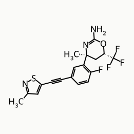 Cc1cc(C#Cc2ccc(F)c([C@]3(C)C[C@@H](C(F)(F)F)OC(N)=N3)c2)sn1